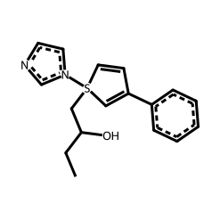 CCC(O)CS1(n2ccnc2)C=CC(c2ccccc2)=C1